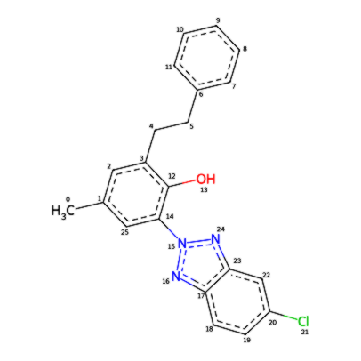 Cc1cc(CCc2ccccc2)c(O)c(-n2nc3ccc(Cl)cc3n2)c1